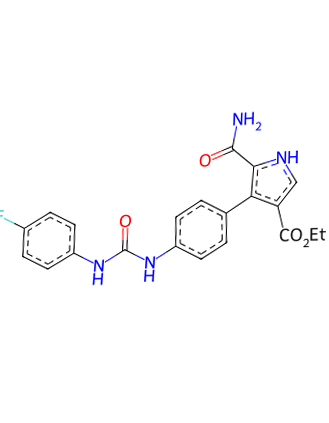 CCOC(=O)c1c[nH]c(C(N)=O)c1-c1ccc(NC(=O)Nc2ccc(F)cc2)cc1